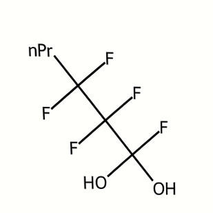 CCCC(F)(F)C(F)(F)C(O)(O)F